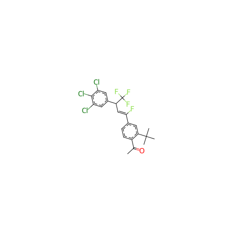 CC(=O)c1ccc(/C(F)=C/C(c2cc(Cl)c(Cl)c(Cl)c2)C(F)(F)F)cc1C(C)(C)C